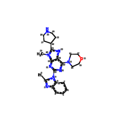 CCc1nc2ccccc2n1-c1nc(N2CCOCC2)c2nc(C3CCNCC3)n(C)c2n1